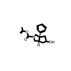 C=C(C)OC(=O)N1C[C@H]2CC(O)C[C@@]2(c2ccccc2)C1